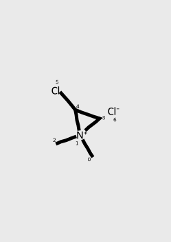 C[N+]1(C)CC1Cl.[Cl-]